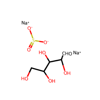 O=CC(O)C(O)C(O)CO.O=S([O-])[O-].[Na+].[Na+]